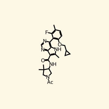 CC(=O)N1CC(NC(=O)c2c(C)[nH]c3c(-c4c(OCC5CC5)ccc(C)c4F)ncnc23)C(C)(C)C1